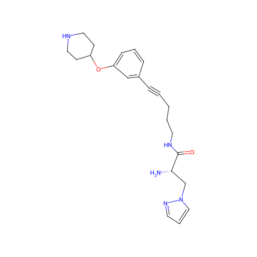 N[C@@H](Cn1cccn1)C(=O)NCCCC#Cc1cccc(OC2CCNCC2)c1